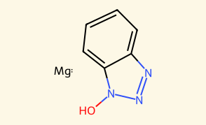 On1nnc2ccccc21.[Mg]